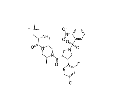 C[C@H]1CN(C(=O)[C@@H](N)CC(C)(C)C)CCN1C(=O)[C@@H]1CN(S(=O)(=O)c2ccccc2[N+](=O)[O-])C[C@H]1c1ccc(Cl)cc1F